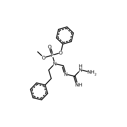 COP(=O)(Oc1ccccc1)N(C=NC(=N)NN)CCc1ccccc1